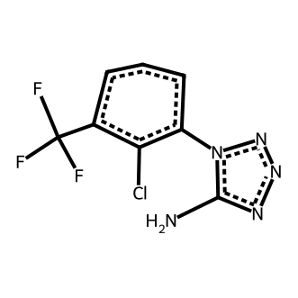 Nc1nnnn1-c1cccc(C(F)(F)F)c1Cl